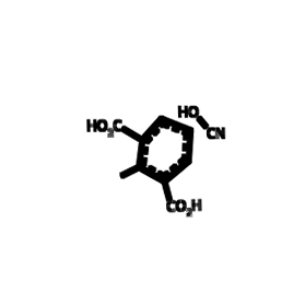 Cc1c(C(=O)O)cccc1C(=O)O.N#CO